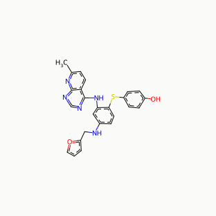 Cc1ccc2c(Nc3cc(NCc4ccco4)ccc3Sc3ccc(O)cc3)ncnc2n1